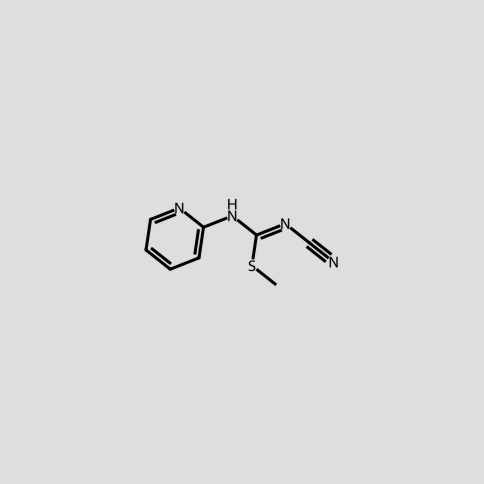 CSC(=NC#N)Nc1ccccn1